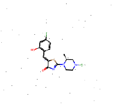 C[C@H]1CN(Cl)CCN1C1=NC(=O)/C(=C/c2ccc(F)cc2O)S1